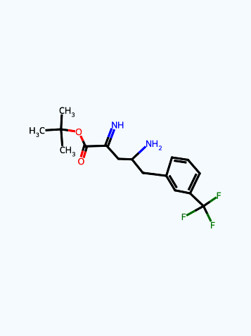 CC(C)(C)OC(=O)C(=N)CC(N)Cc1cccc(C(F)(F)F)c1